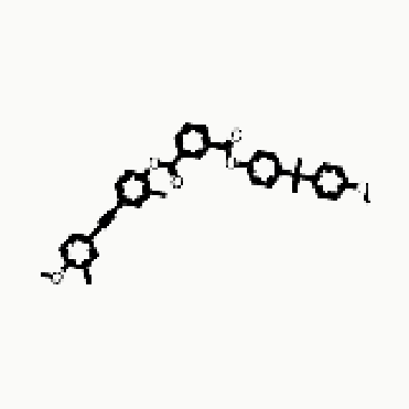 COc1ccc(C(C)(C)c2ccc(OC(=O)c3cccc(C(=O)Oc4ccc(C#Cc5ccc(OC)c(C)c5)cc4C)c3)cc2)cc1